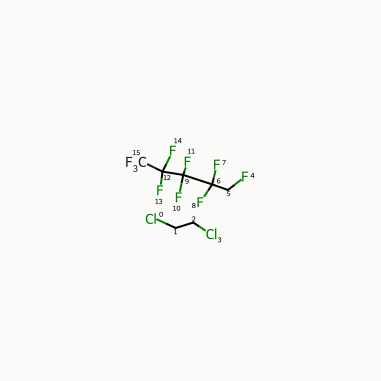 ClCCCl.FCC(F)(F)C(F)(F)C(F)(F)C(F)(F)F